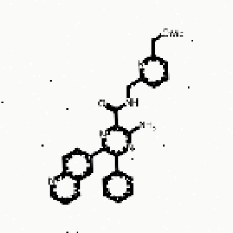 COCc1cccc(CNC(=O)c2nc(-c3ccc4ncccc4c3)c(-c3ccccc3)nc2N)n1